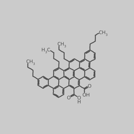 CCCCc1ccc2c(c1)c1cc(CCCC)c3c4c(CCCC)cc5c6cc(CCCC)ccc6c6cccc7c8c(C(=O)O)c(C(=O)O)c9c%10cccc2c%10c1c3c9c8c4c5c67